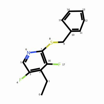 CCc1c(F)cnc(SCc2ccccc2)c1F